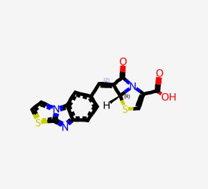 O=C(O)C1=CS[C@@H]2/C(=C\c3ccc4nc5sccn5c4c3)C(=O)N12